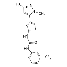 Cn1nc(C(F)(F)F)cc1-c1ccc(NC(=O)Nc2cccc(C(F)(F)F)c2)s1